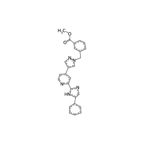 COC(=O)c1cccc(Cn2cc(-c3ccnc(-c4ncc(-c5ccccc5)[nH]4)c3)cn2)c1